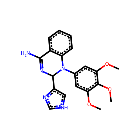 COc1cc(N2c3ccccc3C(N)=NC2c2c[nH]cn2)cc(OC)c1OC